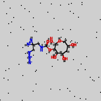 [N-]=[N+]=NCC1(CNC(=O)OC2C(O)[C@H](O)CC(O)CO[C@H]2O)N=N1